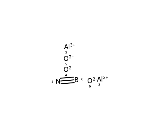 B#N.[Al+3].[Al+3].[O-2].[O-2].[O-2]